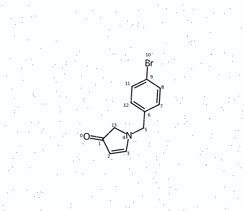 O=C1C=CN(Cc2ccc(Br)cc2)C1